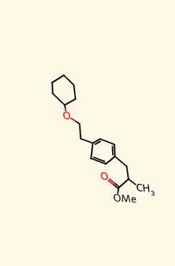 COC(=O)C(C)Cc1ccc(CCOC2CCCCC2)cc1